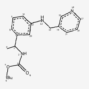 CC(NC(=O)OC(C)(C)C)c1cccc(NCc2cccnc2)c1